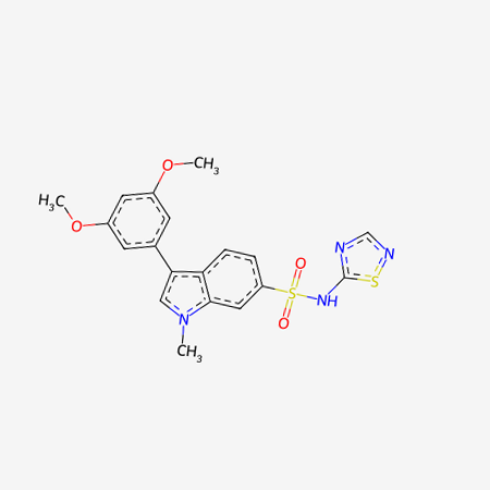 COc1cc(OC)cc(-c2cn(C)c3cc(S(=O)(=O)Nc4ncns4)ccc23)c1